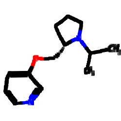 CC(C)N1CCC[C@H]1COc1cccnc1